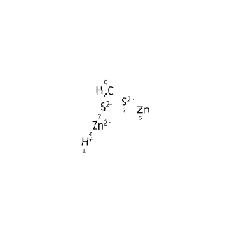 C.[H+].[S-2].[S-2].[Zn+2].[Zn]